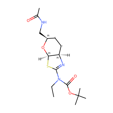 CCN(C(=O)OC(C)(C)C)C1=N[C@@H]2[C][C][C@H](CNC(C)=O)O[C@@H]2S1